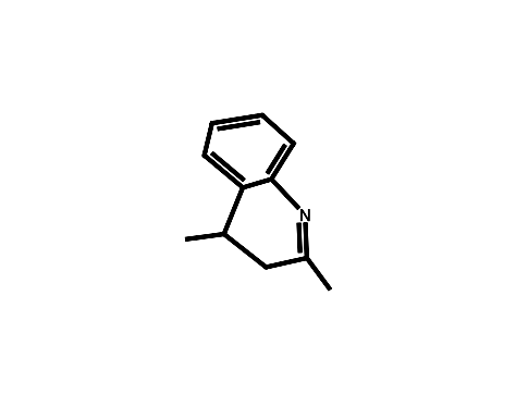 CC1=Nc2ccccc2C(C)C1